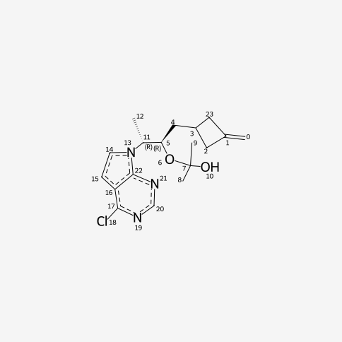 C=C1CC(C[C@@H](OC(C)(C)O)[C@@H](C)n2ccc3c(Cl)ncnc32)C1